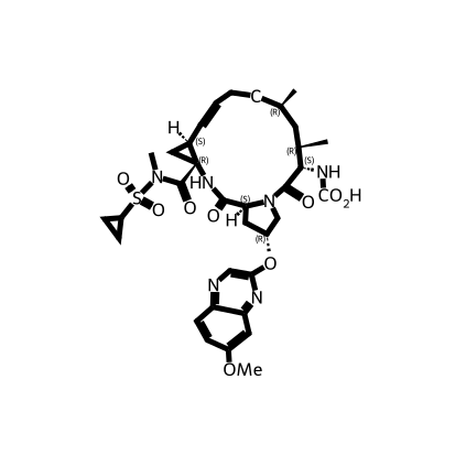 COc1ccc2ncc(O[C@@H]3C[C@H]4C(=O)N[C@]5(C(=O)N(C)S(=O)(=O)C6CC6)C[C@H]5C=CCC[C@@H](C)C[C@@H](C)[C@H](NC(=O)O)C(=O)N4C3)nc2c1